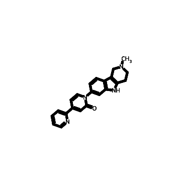 CN1CCc2[nH]c3cc(-n4ccc(-c5ccccn5)cc4=O)ccc3c2C1